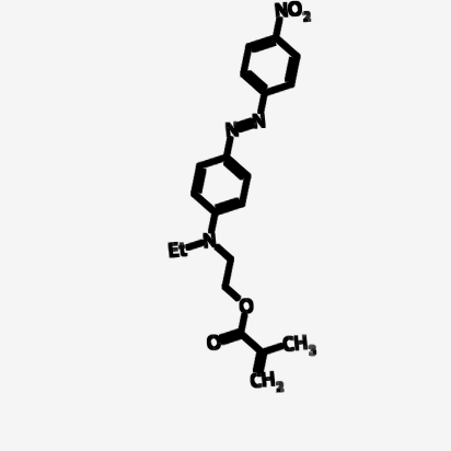 C=C(C)C(=O)OCCN(CC)c1ccc(N=Nc2ccc([N+](=O)[O-])cc2)cc1